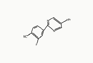 CCCc1cnc(-c2ccc(C#N)c(F)c2)nc1